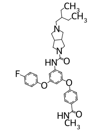 CCC(CC)CN1CC2CN(C(=O)Nc3cc(Oc4ccc(F)cc4)cc(Oc4ccc(C(=O)NC)cc4)c3)CC2C1